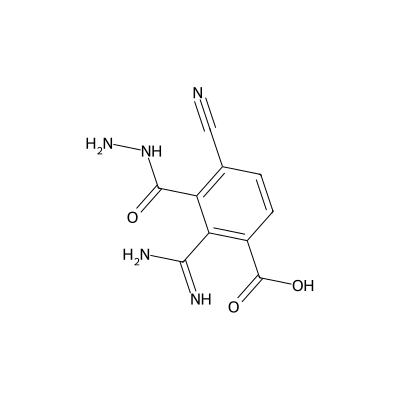 N#Cc1ccc(C(=O)O)c(C(=N)N)c1C(=O)NN